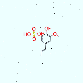 CC=Cc1ccc(O)c(OC)c1.O=S(=O)(O)O